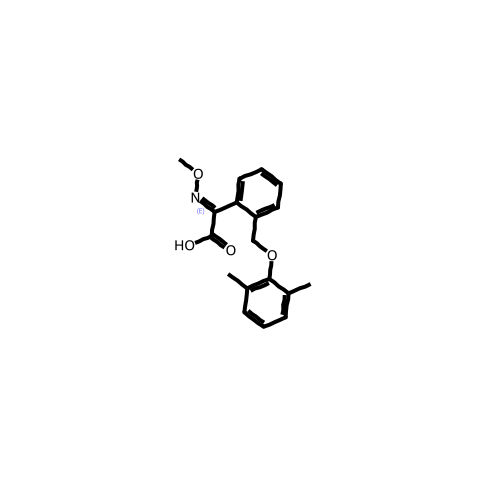 CO/N=C(/C(=O)O)c1ccccc1COc1c(C)cccc1C